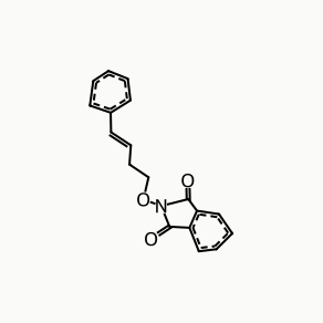 O=C1c2ccccc2C(=O)N1OCCC=Cc1ccccc1